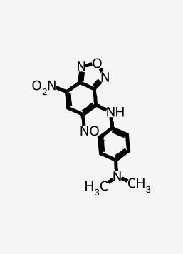 CN(C)c1ccc(Nc2c([N+](=O)[O-])cc([N+](=O)[O-])c3nonc23)cc1